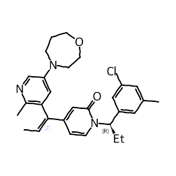 C/C=C(/c1ccn([C@H](CC)c2cc(C)cc(Cl)c2)c(=O)c1)c1cc(N2CCCOCC2)cnc1C